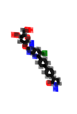 O=C1NCCC1c1ccc(-c2ccc(-c3nc4nc(O[C@H]5CO[C@H](CO)[C@@H](O)C5)[nH]c4cc3Cl)cc2)cc1